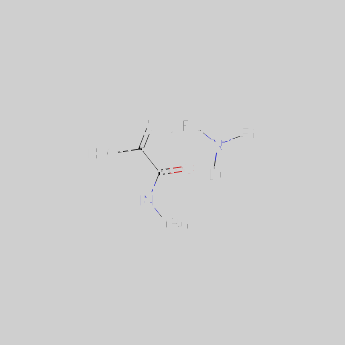 C=C(C)C(=O)NC(C)(C)C.CCN(CC)CC